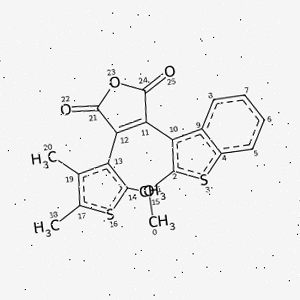 COc1sc2ccccc2c1C1=C(c2c(C)sc(C)c2C)C(=O)OC1=O